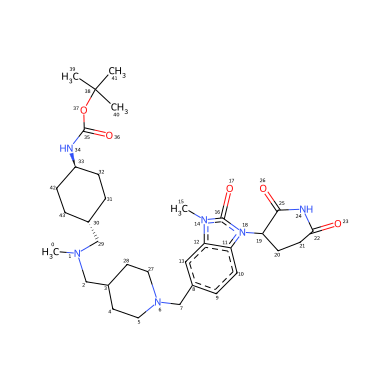 CN(CC1CCN(Cc2ccc3c(c2)n(C)c(=O)n3C2CCC(=O)NC2=O)CC1)C[C@H]1CC[C@H](NC(=O)OC(C)(C)C)CC1